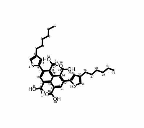 CCCCCCc1csc(-c2cc(C(=O)O)c3c(C(=O)O)cc(-c4cc(CCCCCC)cs4)c(C(=O)O)c3c2C(=O)O)c1